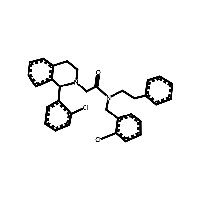 O=C(CN1CCc2ccccc2C1c1ccccc1Cl)N(CCc1ccccc1)Cc1ccccc1Cl